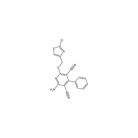 N#Cc1c(N)nc(SCc2csc(Cl)n2)c(C#N)c1-c1ccccc1